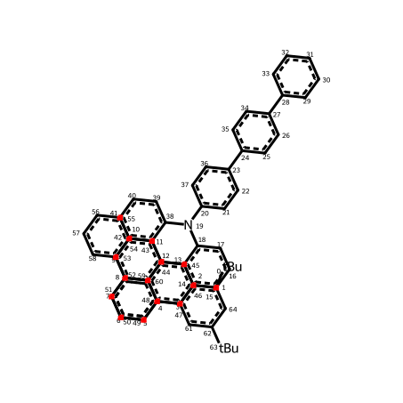 CC(C)(C)c1cc(-c2cccc3cccc(-c4ccccc4N(c4ccc(-c5ccc(-c6ccccc6)cc5)cc4)c4ccccc4-c4cccc5cccc(-c6ccccc6)c45)c23)cc(C(C)(C)C)c1